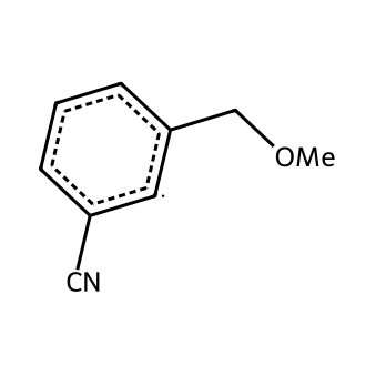 COCc1[c]c(C#N)ccc1